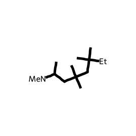 CCC(C)(C)CC(C)(C)CC(C)NC